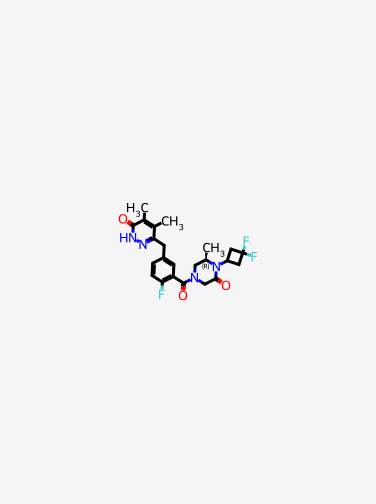 Cc1c(Cc2ccc(F)c(C(=O)N3CC(=O)N(C4CC(F)(F)C4)[C@H](C)C3)c2)n[nH]c(=O)c1C